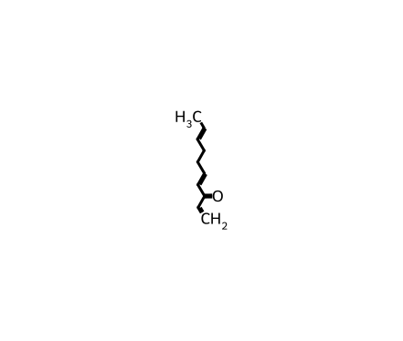 C=CC(=O)C=CCCC=CC